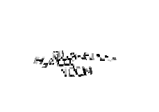 CNCCCOc1cc2cc(N(C)C)ccc2cc1C=C(C#N)C#N